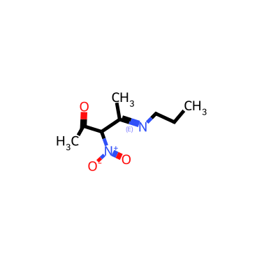 CCC/N=C(\C)C(C(C)=O)[N+](=O)[O-]